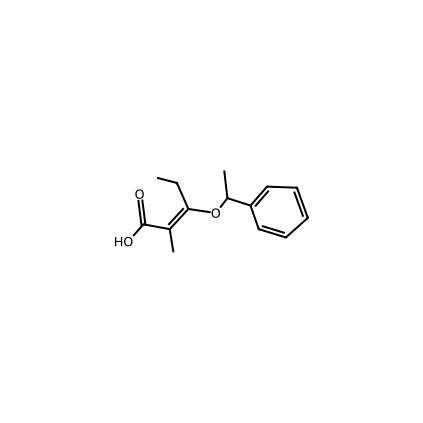 CC/C(OC(C)c1ccccc1)=C(/C)C(=O)O